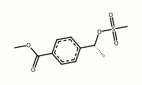 COC(=O)c1ccc([C@@H](C)OS(C)(=O)=O)cc1